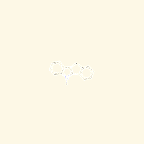 Cn1c2c(c3ccccc31)Cc1ccccc1-2